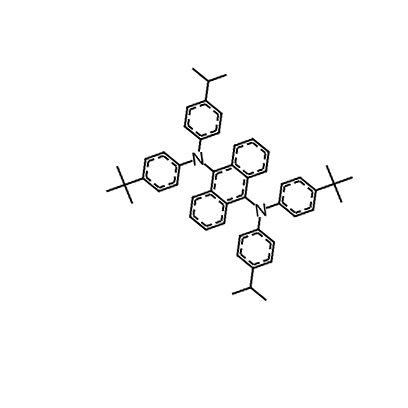 CC(C)c1ccc(N(c2ccc(C(C)(C)C)cc2)c2c3ccccc3c(N(c3ccc(C(C)C)cc3)c3ccc(C(C)(C)C)cc3)c3ccccc23)cc1